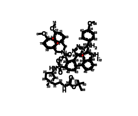 COc1ccc(CN(Cc2ccc(OC)cc2)S(=O)(=O)c2c(S(=O)(=O)N[C@@H]3CC[N+](C)(CCNC(=O)OC(C)(C)C)C3)ccc(-c3cccc4[nH]c(N)nc34)c2-c2nnn(Cc3ccc(OC)cc3)n2)cc1.[I-]